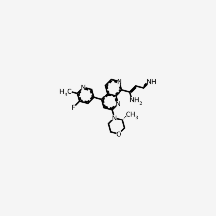 Cc1ncc(-c2cc(N3CCOC[C@H]3C)nc3c(/C(N)=C/C=N)nccc23)cc1F